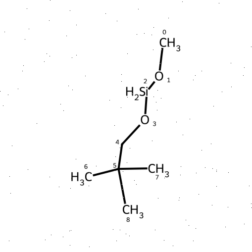 CO[SiH2]OCC(C)(C)C